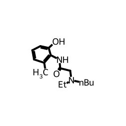 CCCCN(CC)CC(=O)Nc1c(C)cccc1O